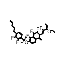 C=CCCCc1ccc(C(F)(F)Oc2ccc3c(c2F)C(F)C(F)C(/C=C(F)/C(=C\C)OCC)C3=C)c(F)c1F